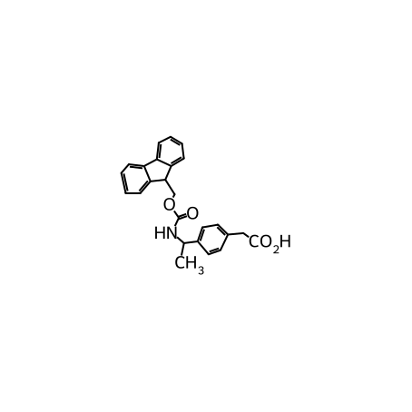 CC(NC(=O)OCC1c2ccccc2-c2ccccc21)c1ccc(CC(=O)O)cc1